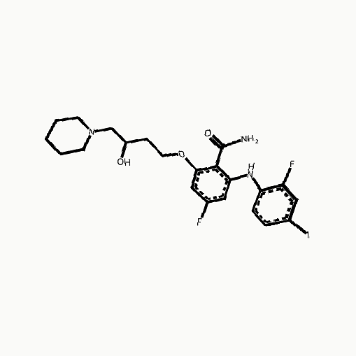 NC(=O)c1c(Nc2ccc(I)cc2F)cc(F)cc1OCCC(O)CN1CCCCC1